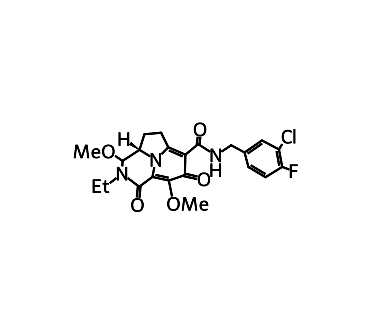 CCN1C(=O)c2c(OC)c(=O)c(C(=O)NCc3ccc(F)c(Cl)c3)c3n2[C@@H](CC3)C1OC